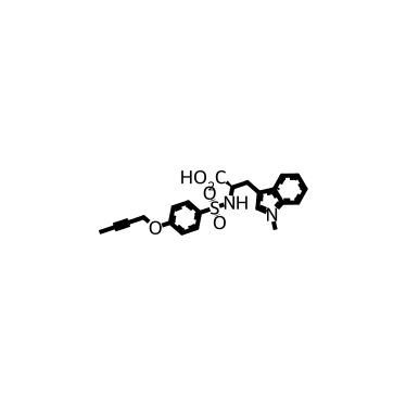 CC#CCOc1ccc(S(=O)(=O)N[C@H](Cc2cn(C)c3ccccc23)C(=O)O)cc1